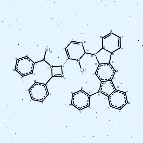 CN1C([C@@H]2N=C(c3ccccc3)N2C(N)c2ccccc2)=CC=NC1N1c2cc3c(cc2C2C=CC=CC21)c1ccccc1n3-c1ccccc1